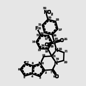 O=C1c2cc3ccsc3n2CC2(c3ccc(F)cc3)N1CCN2S(=O)(=O)c1ccc([N+](=O)[O-])cc1